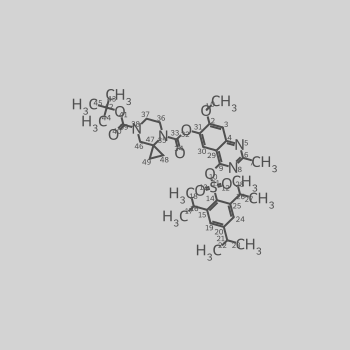 COc1cc2nc(C)nc(OS(=O)(=O)c3c(C(C)C)cc(C(C)C)cc3C(C)C)c2cc1OC(=O)N1CCN(C(=O)OC(C)(C)C)CC12CC2